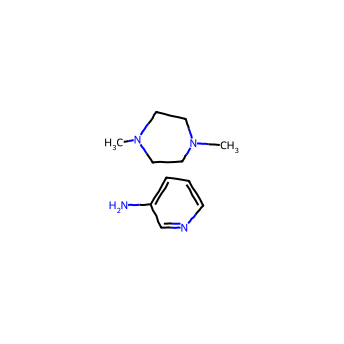 CN1CCN(C)CC1.Nc1cccnc1